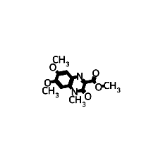 COC(=O)c1nc2cc(OC)c(OC)cc2n(C)c1=O